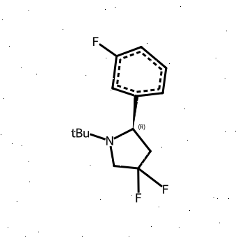 CC(C)(C)N1CC(F)(F)C[C@@H]1c1cccc(F)c1